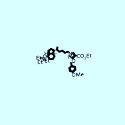 CCOC(=O)c1cn(CCCCC(C)[C@H]2CC[C@H]3[C@@H](O[Si](CC)(CC)CC)CCC[C@]23C)nc1OCc1ccc(OC)cc1